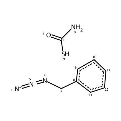 NC(=O)S.[N-]=[N+]=NCc1ccccc1